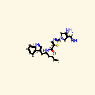 CCCCC(Cc1c[nH]c2ccccc12)NC(=O)c1cnc(N2CC(N)=C(C=N)C2)s1